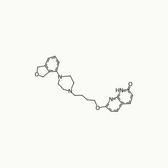 O=c1ccc2ccc(OCCCCN3CCN(c4cccc5c4COC5)CC3)nc2[nH]1